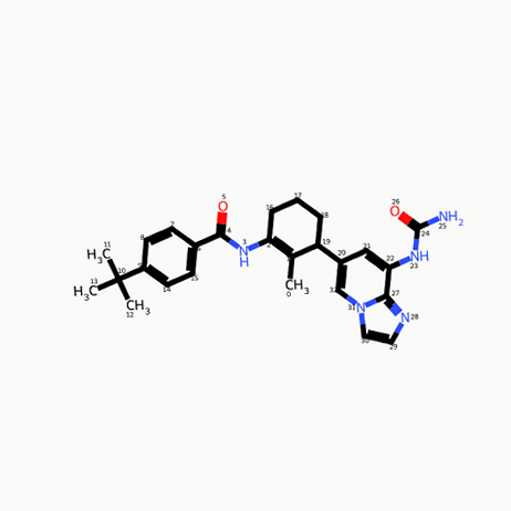 CC1=C(NC(=O)c2ccc(C(C)(C)C)cc2)CCCC1c1cc(NC(N)=O)c2nccn2c1